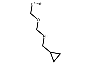 CCCCCCOCNCC1CC1